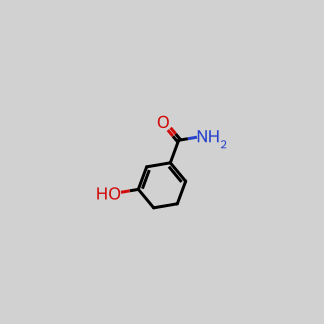 NC(=O)C1=CCCC(O)=C1